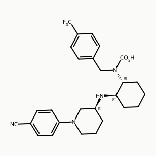 N#Cc1ccc(N2CCC[C@H](N[C@@H]3CCCC[C@H]3N(Cc3ccc(C(F)(F)F)cc3)C(=O)O)C2)cc1